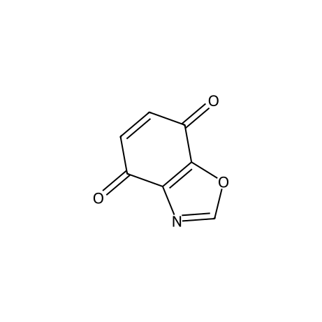 O=C1C=CC(=O)c2ocnc21